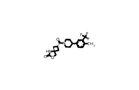 Cc1ccc(C2CCN(C(=O)[C@H]3C[C@]4(COC(=O)N4)C3)CC2)cc1C(F)(F)F